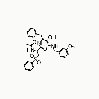 COc1cccc(CNC[C@@H](O)[C@H](Cc2ccccc2)NC(=O)C(CS(=O)(=O)c2ccccc2)NC(C)=O)c1